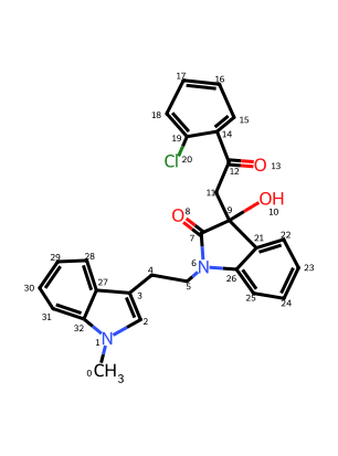 Cn1cc(CCN2C(=O)C(O)(CC(=O)c3ccccc3Cl)c3ccccc32)c2ccccc21